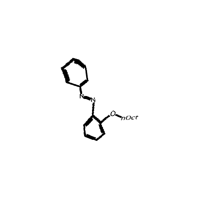 CCCCCCCCOc1ccccc1N=Nc1ccccc1